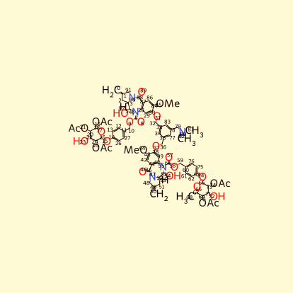 C=C1C[C@H]2C(O)N(C(=O)OCc3ccc(O[C@H]4O[C@H](OC(C)=O)[C@H](OC(C)=O)[C@@H](O)[C@H]4OC(C)=O)cc3)c3cc(OCc4cc(COc5cc6c(cc5OC)C(=O)N5CC(=C)C[C@H]5C(O)N6C(=O)OCc5ccc(O[C@@H]6O[C@H](C)[C@H](OC(C)=O)[C@H](O)[C@H]6OC(C)=O)cc5)cc(CN(C)C)c4)c(OC)cc3C(=O)N2C1